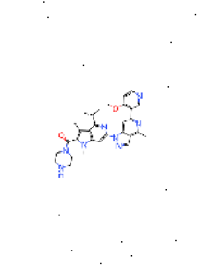 COc1ccncc1-c1cc2c(cnn2-c2cc3c(c(C(C)C)n2)c(C)c(C(=O)N2CCNCC2)n3C)c(C)n1